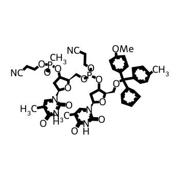 COc1ccc(C(OC[C@H]2O[C@@H](n3cc(C)c(=O)[nH]c3=O)CC2OP(OCCC#N)OC[C@H]2O[C@@H](n3cc(C)c(=O)[nH]c3=O)CC2OP(C)(=O)OCCC#N)(c2ccccc2)c2ccc(C)cc2)cc1